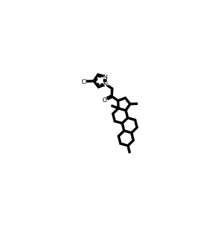 CC1CCC2C(CCC3C2CCC2(C)C(C(=O)Cn4cc(Cl)cn4)CC(C)C32)C1